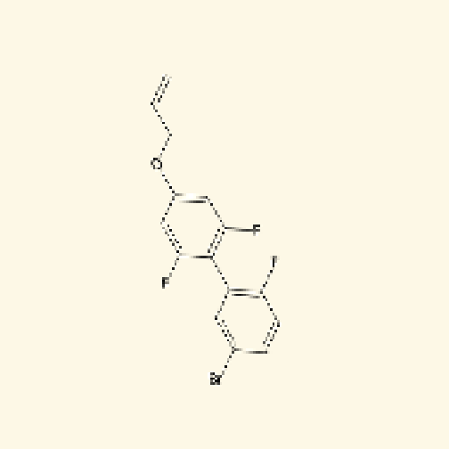 C=CCOc1cc(F)c(-c2cc(Br)[c]cc2F)c(F)c1